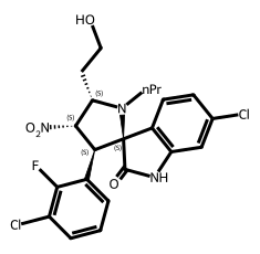 CCCN1[C@@H](CCO)[C@@H]([N+](=O)[O-])[C@H](c2cccc(Cl)c2F)[C@]12C(=O)Nc1cc(Cl)ccc12